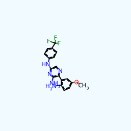 COc1ccc(N)c(-c2ncc(Nc3ccc(C(F)(F)F)cc3)nc2N)c1